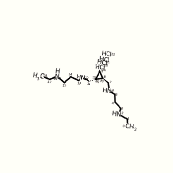 CCNCCCNC[C@@H]1C[C@H]1CNCCCNCC.Cl.Cl.Cl.Cl